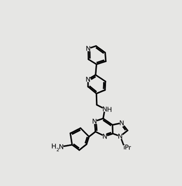 CC(C)n1cnc2c(NCc3ccc(-c4cccnc4)nc3)nc(-c3ccc(N)cc3)nc21